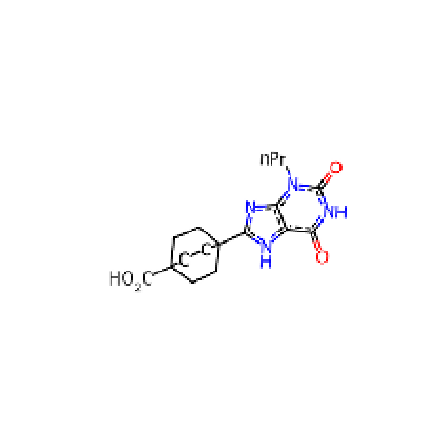 CCCn1c(=O)[nH]c(=O)c2[nH]c(C34CCC(C(=O)O)(CC3)CC4)nc21